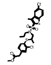 CCCN(CC(C)Sc1ccc(CC(=O)OC)cc1Cl)S(=O)(=O)c1sc2ccc(Cl)cc2c1C